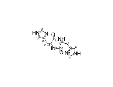 O=C1N[C@@H](Cc2c[nH]cn2)C(=O)NC1Cc1c[nH]cn1